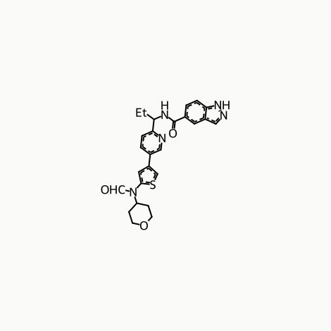 CCC(NC(=O)c1ccc2[nH]ncc2c1)c1ccc(-c2csc(N(C=O)C3CCOCC3)c2)cn1